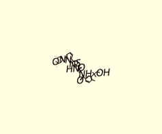 Cc1ccc(C(=O)NCC(=O)Nc2nc(-c3cccc(N4C[C@@H](C)O[C@@H](C)C4)n3)cs2)cc1C(C)(C)CO